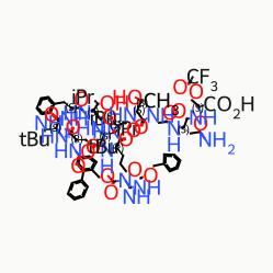 CC[C@H](C)[C@H](NC(=O)[C@@H](CCCN(C(=N)NC(=O)OCc1ccccc1)C(=O)OCc1ccccc1)NC(=O)[C@H](CC(C)C)NC(=O)[C@@H](NC(=O)[C@H](Cc1cccc(N)c1)NC(=O)[C@H](CC(C)(C)C)NC(=O)[C@@H](CC(C)(C)C)NC(=O)OCc1ccccc1)C(O)C(C)C)C(=O)N[C@H](C(=O)NCC(=O)N[C@@H](CC(N)=O)C(=O)N[C@@H](COC(=O)C(F)(F)F)C(=O)O)[C@H](C)O